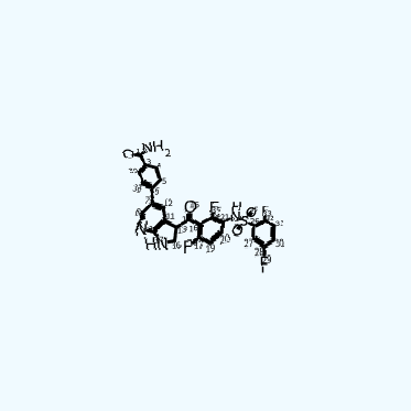 NC(=O)c1ccc(-c2cnc3c(c2)C(C(=O)c2c(F)ccc(NS(=O)(=O)c4cc(F)ccc4F)c2F)CN3)cc1